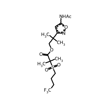 CC(=O)Nc1cc(C(C)(C)COC(=O)C(C)(C)S(=O)(=O)CCCC(F)(F)F)no1